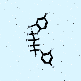 FC(F)(Sc1ccc(Br)cc1Br)C(F)(F)C(F)(F)C(F)(F)Sc1ccc(Br)cc1Br